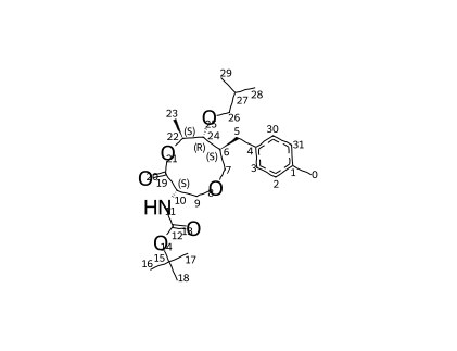 Cc1ccc(C[C@H]2COC[C@H](NC(=O)OC(C)(C)C)C(=O)O[C@@H](C)[C@@H]2OCC(C)C)cc1